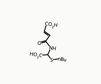 CCCCSC(NC(=O)C=CC(=O)O)C(=O)O